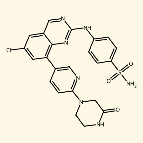 NS(=O)(=O)c1ccc(Nc2ncc3cc(Cl)cc(-c4ccc(N5CCNC(=O)C5)nc4)c3n2)cc1